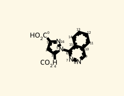 O=C(O)c1cc(C(=O)O)n(-c2nncc3ccccc23)n1